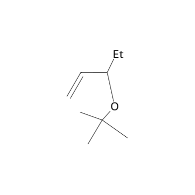 C=CC(CC)OC(C)(C)C